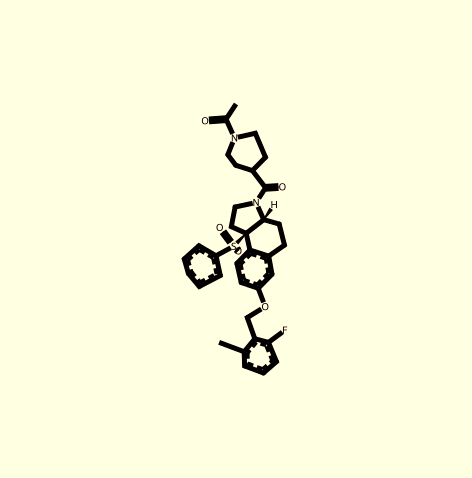 CC(=O)N1CCC(C(=O)N2CC[C@@]3(S(=O)(=O)c4ccccc4)c4ccc(OCc5c(C)cccc5F)cc4CC[C@@H]23)CC1